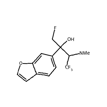 CNC(C(F)(F)F)C(O)(CF)c1ccc2ccoc2c1